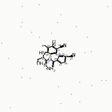 C=C(O/C(=N\N)C(CO)Nc1ccc(C#N)c(Cl)c1C)c1ccc(C#N)cc1